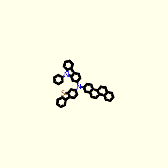 c1ccc(-n2c3ccccc3c3ccc(N(c4ccc5c(ccc6c7ccccc7ccc56)c4)c4ccc5c(c4)sc4ccccc45)cc32)cc1